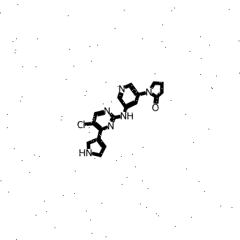 O=C1CCCN1c1cncc(Nc2ncc(Cl)c(C3=CCNC3)n2)c1